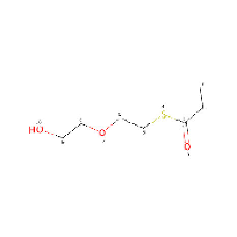 CCC(=O)SCCOCCO